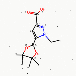 CCn1nc(C(=O)O)cc1B1OC(C)(C)C(C)(C)O1